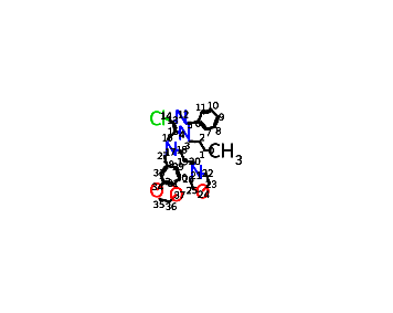 CCCCn1c(-c2ccccc2)nc(Cl)c1CN(CCCN1CCOCC1)Cc1ccc2c(c1)OCCO2